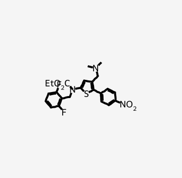 CCOC(=O)N(Cc1c(F)cccc1F)c1cc(CN(C)C)c(-c2ccc([N+](=O)[O-])cc2)s1